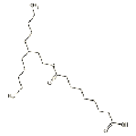 CCCCCC(CCCCC)CCOC(=O)CCCCCCCC(=O)O